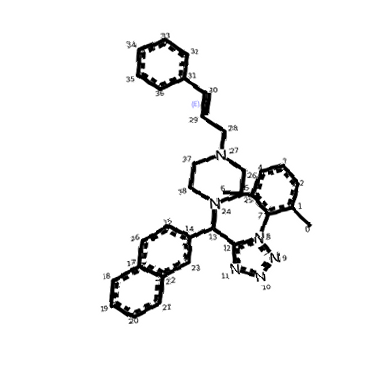 Cc1cccc(C)c1-n1nnnc1C(c1ccc2ccccc2c1)N1CCN(C/C=C/c2ccccc2)CC1